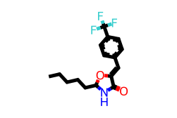 CCCCCC1NC(=O)C(=Cc2ccc(C(F)(F)F)cc2)O1